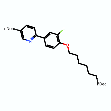 CCCCCCCCCCCCCCCCOc1ccc(-c2ccc(CCCCCCCCC)cn2)cc1F